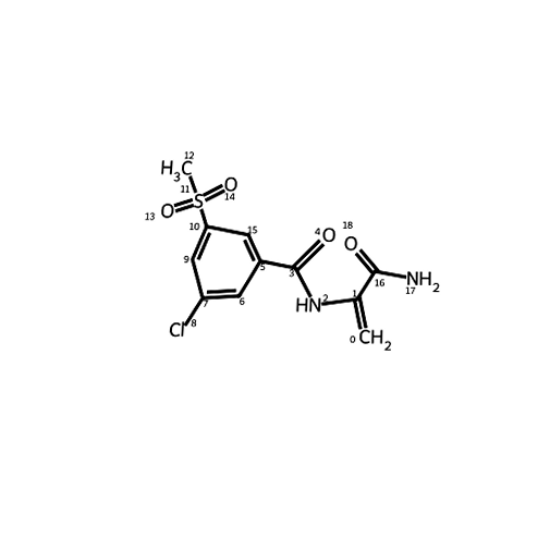 C=C(NC(=O)c1cc(Cl)cc(S(C)(=O)=O)c1)C(N)=O